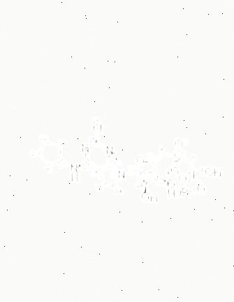 CC(C)OP(=O)(O)CS(=O)(=O)CC1O[C@@H](n2ccc3c(NC4CCCC4)nc(Cl)nc32)[C@H](O)[C@@H]1O